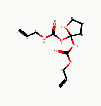 C=CCOC(=O)OC1(OC(=O)OCC=C)CCCO1